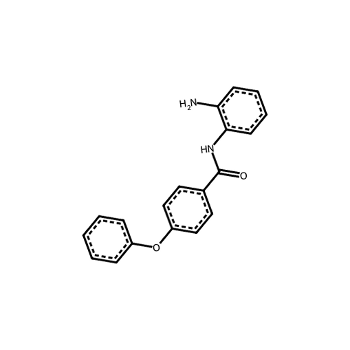 Nc1ccccc1NC(=O)c1ccc(Oc2ccccc2)cc1